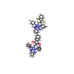 Cc1cc(C)c(N2/C(=C/C=C3C(=S)c4ccccc4C3=S)N(c3c(C)cc(C)cc3C)c3nc4cc(-c5ccc6cc7c(cc6c5)C(=O)/C(=C\C=C5N(C68CCC(CC6)CC8)c6nc8ccccc8nc6N5C56CCC(CC5)CC6)C7=O)ccc4nc32)c(C)c1